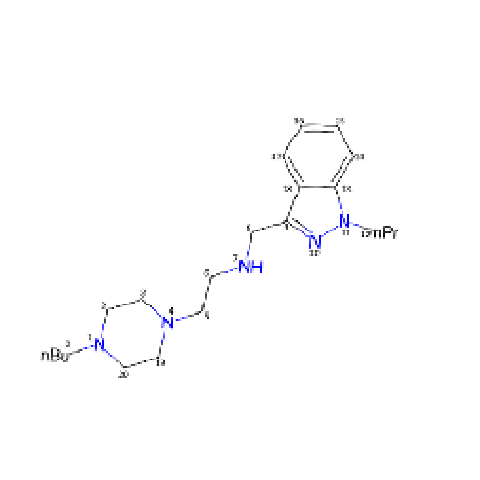 CCCCN1CCN(CCNCc2nn(CCC)c3ccccc23)CC1